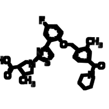 Cc1cc(C(=O)N2CCCCC2)ccc1COc1ccc(F)cc1-c1csc(N2CC(C)C(C(=O)O)C2)n1